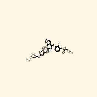 C=CC(=O)Nc1cccc(Oc2nc(Nc3cc(OCCN(C)C)nn3C)nc3[nH]ccc23)c1F